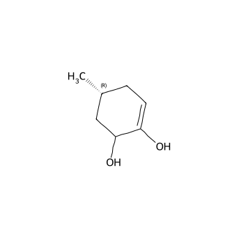 C[C@@H]1CC=C(O)C(O)C1